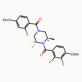 COc1ccc(C(=O)N2C[C@@H](C)N(C(=O)c3ccc(OC)c(F)c3F)[C@H](C)C2)c(F)c1